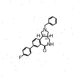 O=C1NC[C@H]2CN(Cc3ccccc3)C[C@@H]2c2ccc(-c3ccc(F)cc3)cc21